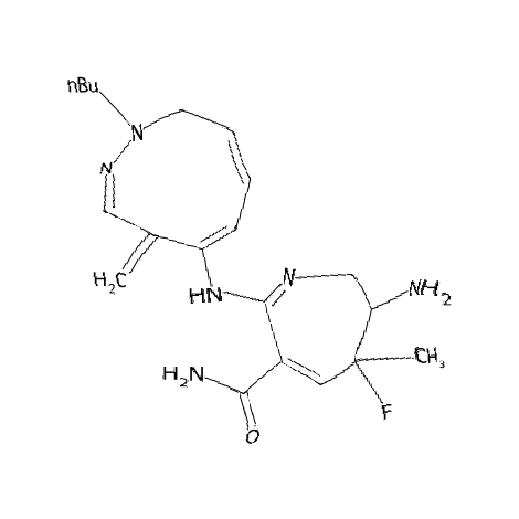 C=C1/C=N\N(CCCC)C/C=C\C=C/1NC1=NCC(N)C(C)(F)C=C1C(N)=O